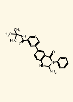 CC(C)(C)NC(=O)c1cncc(-c2ccc3c(c2)C(=O)N(c2ccccc2)C(N)N3)c1